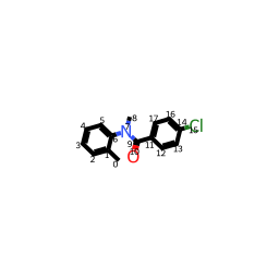 Cc1ccccc1N(C)C(=O)c1ccc(Cl)cc1